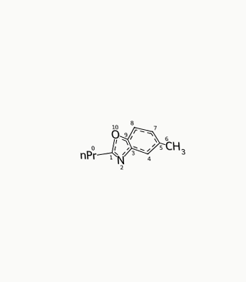 CCCc1nc2cc(C)ccc2o1